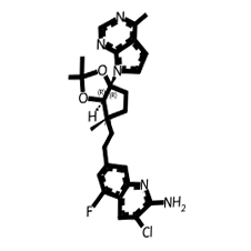 Cc1ncnc2c1ccn2[C@@]12CC[C@](C)(CCc3cc(F)c4cc(Cl)c(N)nc4c3)[C@H]1OC(C)(C)O2